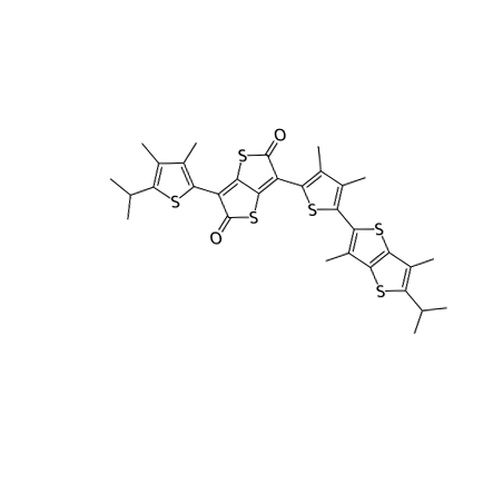 Cc1c(C2=C3SC(=O)C(c4sc(C(C)C)c(C)c4C)=C3SC2=O)sc(-c2sc3c(C)c(C(C)C)sc3c2C)c1C